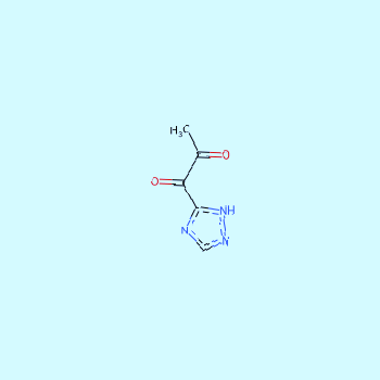 CC(=O)C(=O)c1ncn[nH]1